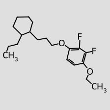 CCCC1CCCCC1CCCOc1ccc(OCC)c(F)c1F